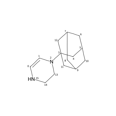 C1=CN(C23CC4CC(CC(C4)C2)C3)CCN1